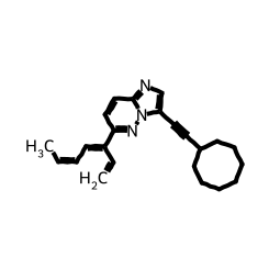 C=C/C(=C\C=C/C)c1ccc2ncc(C#CC3CCCCCCC3)n2n1